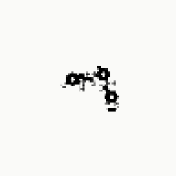 Cc1ccc(NC(=O)c2ccc3c(c2)OCCO3)cc1NC(=O)c1cc2ccc(O)cc2[nH]1